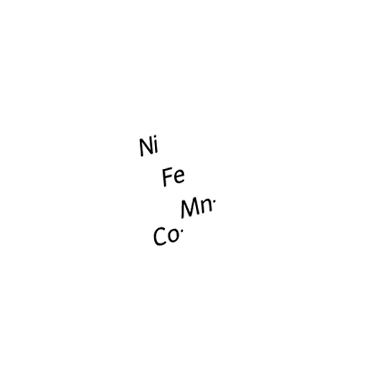 [Co].[Fe].[Mn].[Ni]